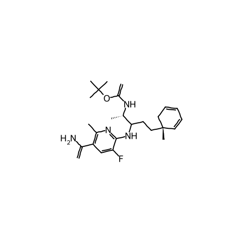 C=C(N[C@@H](C)C(CC[C@@]1(C)C=CC=CC1)Nc1nc(C)c(C(=C)N)cc1F)OC(C)(C)C